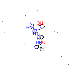 CCc1cnccc1CNC(=O)c1cccc(NCc2nnc(C3CCNCN3)n2CCN2CCCCC2CO)c1